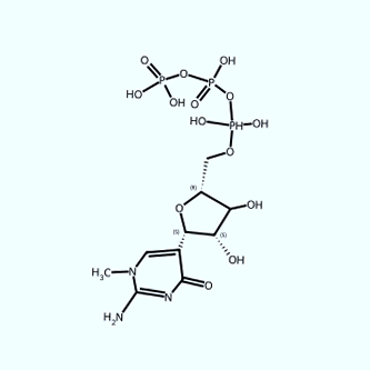 Cn1cc([C@@H]2O[C@H](CO[PH](O)(O)OP(=O)(O)OP(=O)(O)O)C(O)[C@@H]2O)c(=O)nc1N